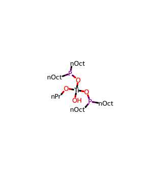 CCCCCCCCP(CCCCCCCC)[O][Ti]([OH])([O]CCC)[O]P(CCCCCCCC)CCCCCCCC